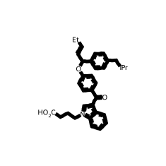 CCC=CC(Oc1ccc(C(=O)c2cn(CCCC(=O)O)c3ccccc23)cc1)c1ccc(CC(C)C)cc1